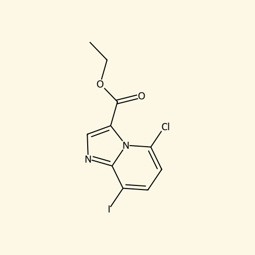 CCOC(=O)c1cnc2c(I)ccc(Cl)n12